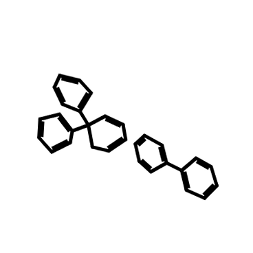 C1=CCC(c2ccccc2)(c2ccccc2)C=C1.c1ccc(-c2ccccc2)cc1